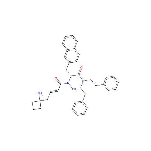 CN(C(=O)C=CCC1(N)CCC1)[C@H](Cc1ccc2ccccc2c1)C(=O)N(CCc1ccccc1)CCc1ccccc1